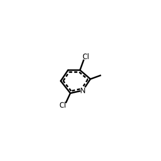 Cc1nc(Cl)ccc1Cl